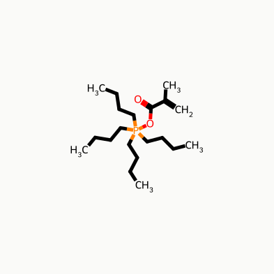 C=C(C)C(=O)OP(CCCC)(CCCC)(CCCC)CCCC